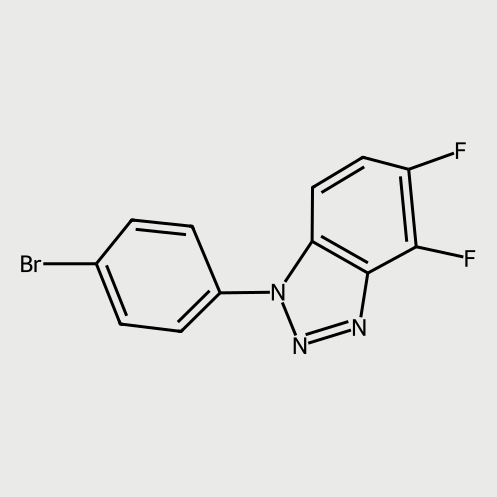 Fc1ccc2c(nnn2-c2ccc(Br)cc2)c1F